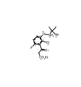 CCOC(=O)CC(=O)c1c(F)ccc(O[SiH2]C(C)(C)C(C)C)c1Cl